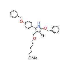 CCc1c(OCc2ccccc2)[nH]c(-c2ccc(OCc3ccccc3)cc2)c1COCCCCCOC